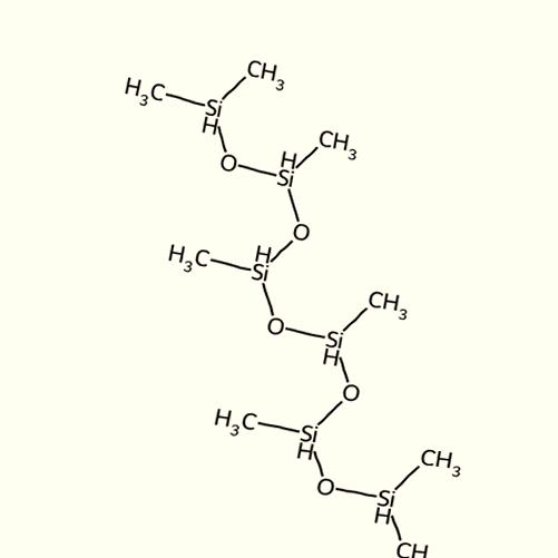 C[SiH](C)O[SiH](C)O[SiH](C)O[SiH](C)O[SiH](C)O[SiH](C)C